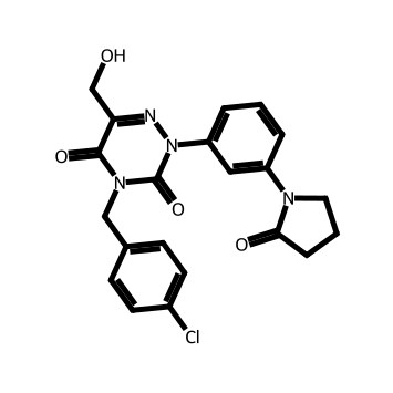 O=C1CCCN1c1cccc(-n2nc(CO)c(=O)n(Cc3ccc(Cl)cc3)c2=O)c1